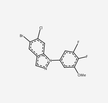 COc1cc(-n2ncc3cc(Br)c(Cl)cc32)cc(F)c1F